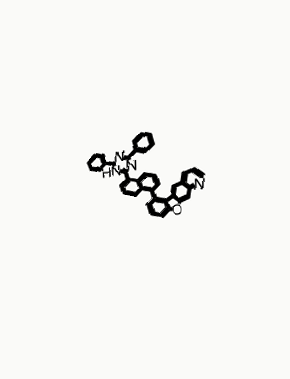 c1ccc(C2=NC(c3ccccc3)NC(c3cccc4c(-c5cccc6oc7cc8ncccc8cc7c56)cccc34)=N2)cc1